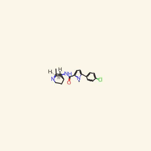 C[C@H]1[C@H](NC(=O)c2ccc(-c3ccc(Cl)cc3)n2C)C2CCN1CC2